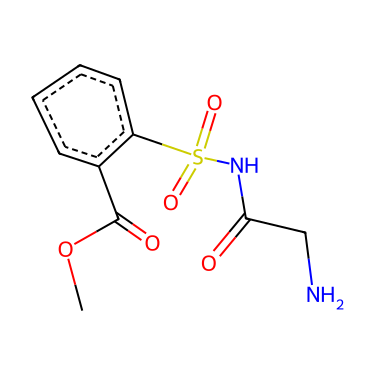 COC(=O)c1ccccc1S(=O)(=O)NC(=O)CN